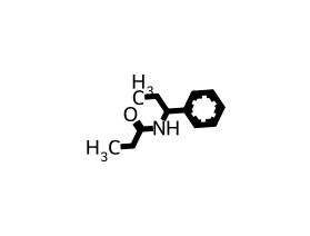 CCC(=O)NC(CC)c1ccccc1